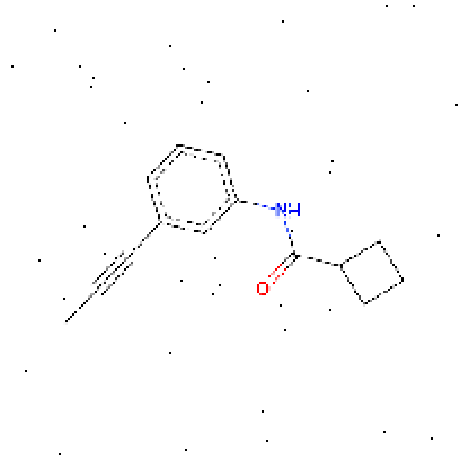 CC#Cc1cccc(NC(=O)C2CCC2)c1